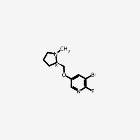 CN1CCC[C@@H]1COc1cnc(F)c(Br)c1